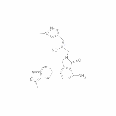 Cn1cc(/C=C(\C#N)CN2Cc3c(-c4ccc5cnn(C)c5c4)ccc(N)c3C2=O)cn1